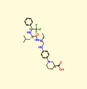 CC[C@@H](CNc1ccc(N2CCC[C@H](C(=O)O)C2)cc1)NC(=O)[C@H](CC(C)C)N[C@@H](c1ccccc1)C(F)(F)F